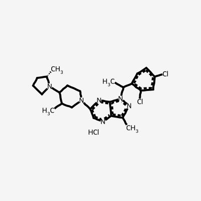 Cc1nn(C(C)c2ccc(Cl)cc2Cl)c2nc(N3CCC(N4CCC[C@@H]4C)C(C)C3)cnc12.Cl